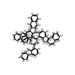 c1ccc2cc(-c3nc(-c4cccc5c4sc4ccccc45)nc(-c4c(-n5c6cc7ccccc7cc6c6cc7ccccc7cc65)ccc5c4sc4ccc6ccccc6c45)n3)ccc2c1